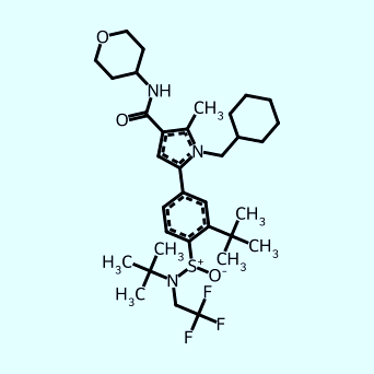 Cc1c(C(=O)NC2CCOCC2)cc(-c2ccc([S+]([O-])N(CC(F)(F)F)C(C)(C)C)c(C(C)(C)C)c2)n1CC1CCCCC1